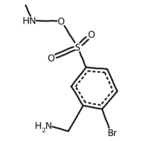 CNOS(=O)(=O)c1ccc(Br)c(CN)c1